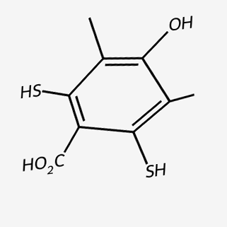 Cc1c(O)c(C)c(S)c(C(=O)O)c1S